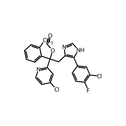 Cc1ccccc1C(Cc1nc[nH]c1-c1ccc(F)c(Cl)c1)(OC=O)c1cc(Cl)ccn1